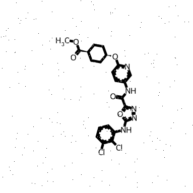 COC(=O)[C@H]1CC[C@H](Oc2ccc(NC(=O)c3nnc(Nc4cccc(Cl)c4Cl)o3)cn2)CC1